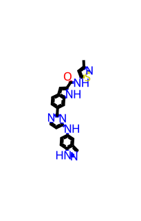 Cc1cc(NC(=O)c2cc3ccc(-c4nccc(Nc5ccc6[nH]ncc6c5)n4)cc3[nH]2)sn1